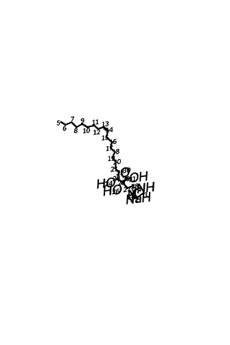 C1=NCCN1.CCCCCCCC/C=C\CCCCCCCCC(O)C(O)(CC)C(=O)O.[NaH]